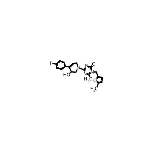 Cc1nc(N2CC=C(c3ccc(F)cc3)C(O)C2)nc(=O)n1Cc1ccc(C(F)(F)F)o1